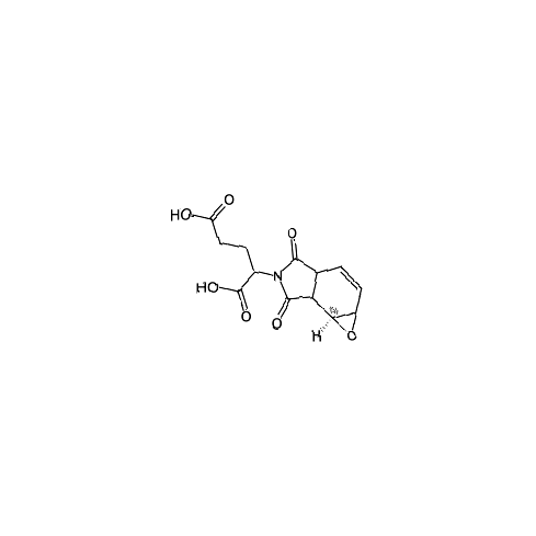 O=C(O)CCC(C(=O)O)N1C(=O)C2C=CC3O[C@H]3C2C1=O